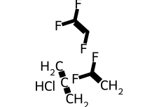 C=C(F)F.C=C=C.Cl.FC=C(F)F